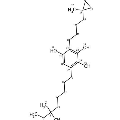 CCC(C)(C)CCCCCc1cc(O)c(CCCCC2(C)CC2)c(O)c1O